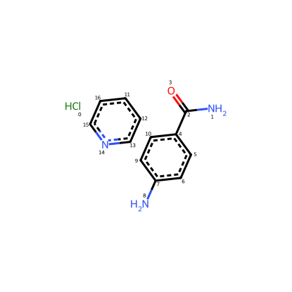 Cl.NC(=O)c1ccc(N)cc1.c1ccncc1